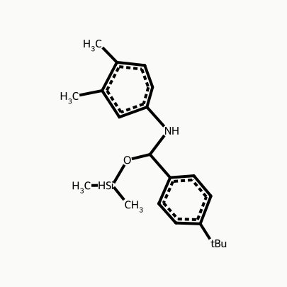 Cc1ccc(NC(O[SiH](C)C)c2ccc(C(C)(C)C)cc2)cc1C